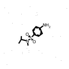 CC(C)N(C)S(=O)(=O)c1ccc(N)cc1